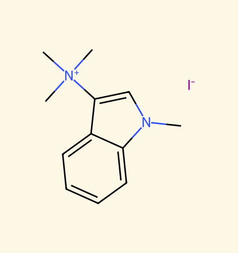 Cn1cc([N+](C)(C)C)c2ccccc21.[I-]